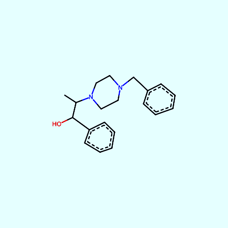 CC(C(O)c1ccccc1)N1CCN(Cc2ccccc2)CC1